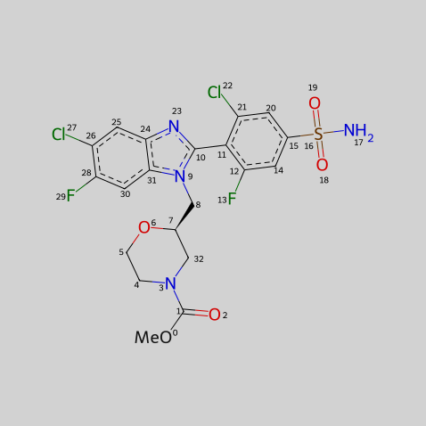 COC(=O)N1CCO[C@@H](Cn2c(-c3c(F)cc(S(N)(=O)=O)cc3Cl)nc3cc(Cl)c(F)cc32)C1